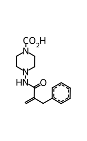 C=C(Cc1ccccc1)C(=O)NN1CCN(C(=O)O)CC1